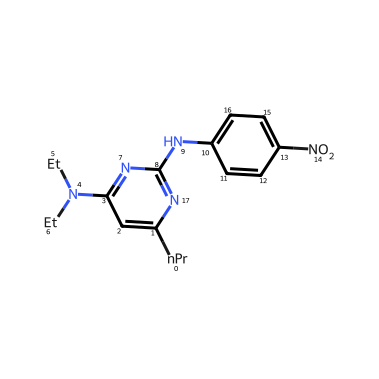 CCCc1cc(N(CC)CC)nc(Nc2ccc([N+](=O)[O-])cc2)n1